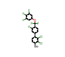 CCCc1ccc(-c2ccc(C(F)(F)Oc3cc(F)c(F)c(F)c3)c(F)c2)c(Cl)c1Cl